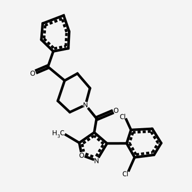 Cc1onc(-c2c(Cl)cccc2Cl)c1C(=O)N1CCC(C(=O)c2ccccc2)CC1